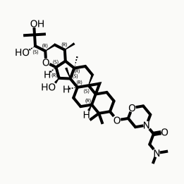 C[C@@H]1C[C@H]([C@H](O)C(C)(C)O)O[C@H]2C1[C@@]1(C)CC[C@@]34CC35CCC(OC3CN(C(=O)CN(C)C)CCO3)C(C)(C)[C@@H]5CC[C@H]4[C@]1(C)[C@H]2O